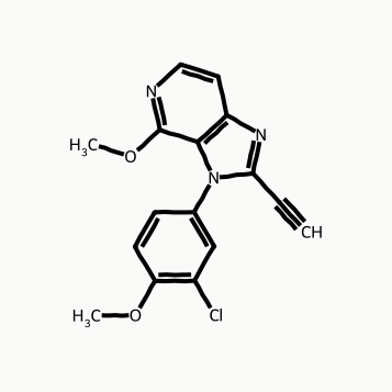 C#Cc1nc2ccnc(OC)c2n1-c1ccc(OC)c(Cl)c1